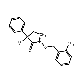 CCC(C)(C(=O)NOCc1ccccc1C)c1ccccc1